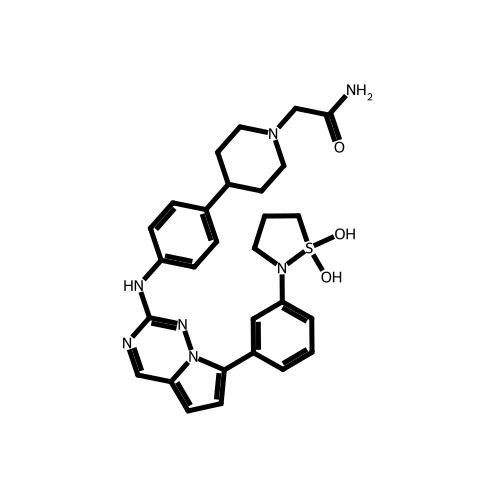 NC(=O)CN1CCC(c2ccc(Nc3ncc4ccc(-c5cccc(N6CCCS6(O)O)c5)n4n3)cc2)CC1